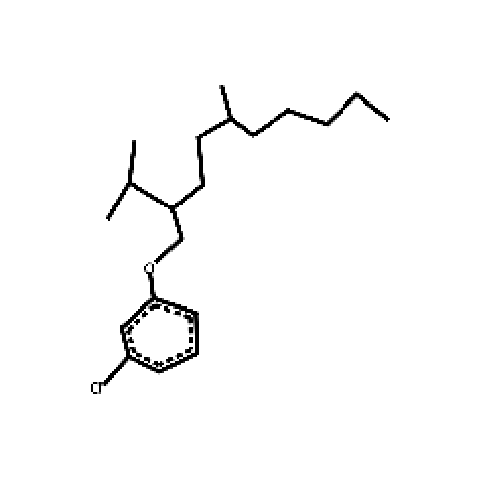 CCCCCC(C)CCC(COc1cccc(Cl)c1)C(C)C